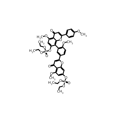 CCOP(=O)(OCC)Oc1cc(OC)c2c(=O)cc(-c3ccc(OC)c(-c4c(OP(=O)(OCC)OCC)cc(OC)c5c(=O)cc(-c6ccc(OC)cc6)oc45)c3)oc2c1